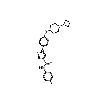 O=C(Nc1ccc(F)cc1)c1cnn(-c2ccc(OC3CCN(C4CCC4)CC3)cc2)c1